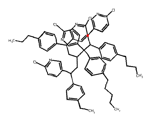 CCCCCc1ccc(C(c2ccc(Cl)nc2)(C(CC(c2ccc(CC)cc2)c2ccc(Cl)nc2)CC(c2ccc(CCC)cc2)c2ccc(Cl)nc2)C(Cc2ccc(Cl)nc2)c2ccc(CCCC)cc2)cc1